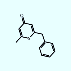 Cc1cc(=O)cc(Cc2ccccc2)s1